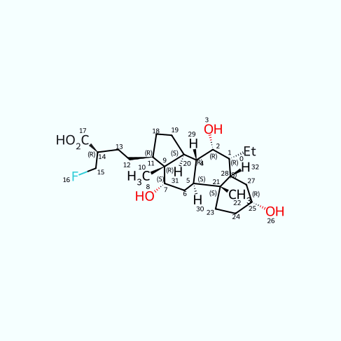 CC[C@H]1[C@@H](O)[C@@H]2[C@H](C[C@H](O)[C@]3(C)[C@@H](CC[C@@H](CF)C(=O)O)CC[C@@H]23)[C@@]2(C)CC[C@@H](O)C[C@@H]12